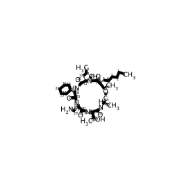 CCCCCC[C@H]1C(=O)N(C)[C@@H](CCC)C(=O)N[C@@H](C2CCCCC2)C(=O)N[C@@H](CN)C(=O)N[C@@H]([C@H](C)O)C(=O)N[C@H](C)CO[C@@H]1C